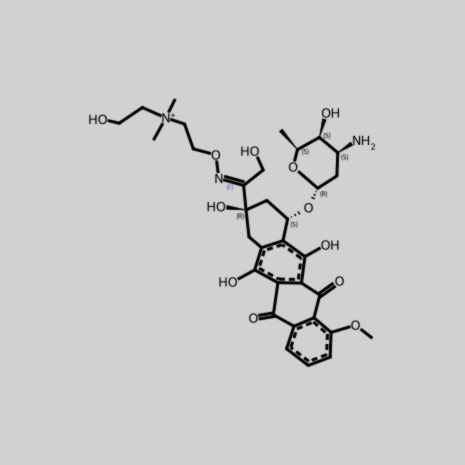 COc1cccc2c1C(=O)c1c(O)c3c(c(O)c1C2=O)C[C@](O)(/C(CO)=N/OCC[N+](C)(C)CCO)C[C@@H]3O[C@H]1C[C@H](N)[C@H](O)[C@H](C)O1